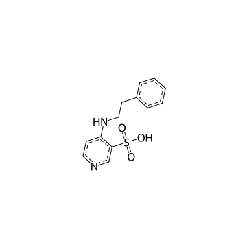 O=S(=O)(O)c1cnccc1NCCc1ccccc1